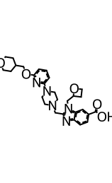 O=C(O)c1ccc2nc(CN3CCN(c4cccc(OCC5CCOCC5)n4)CC3)n(CC3CCO3)c2c1